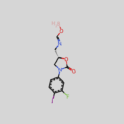 BOC=NC[C@H]1CN(c2ccc(I)c(F)c2)C(=O)O1